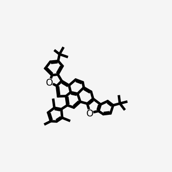 Cc1cc(C)c(-c2cc3c4oc5ccc(C(C)(C)C)cc5c4cc4ccc5c6c(cc2c5c43)oc2ccc(C(C)(C)C)cc26)c(C)c1